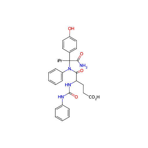 CC(C)C(C(N)=O)(c1ccc(O)cc1)N(C(=O)C(CCC(=O)O)NC(=O)Nc1ccccc1)c1ccccc1